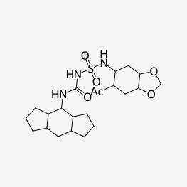 CC(=O)C1CC2OCOC2CC1NS(=O)(=O)NC(=O)NC1C2CCCC2CC2CCCC21